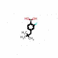 CC(C)(C)Cc1ccc(B(O)O)c(F)c1